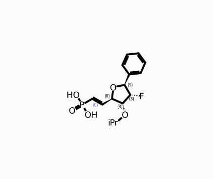 CC(C)O[C@H]1[C@@H](F)[C@H](c2ccccc2)O[C@@H]1/C=C/P(=O)(O)O